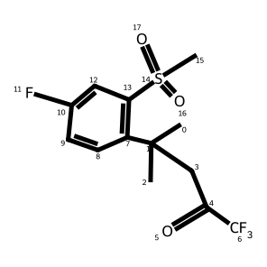 CC(C)(CC(=O)C(F)(F)F)c1ccc(F)cc1S(C)(=O)=O